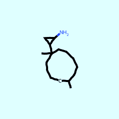 CC1CCCCCC(C)(C2CC2N)CCCC1